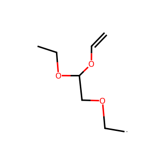 [CH2]COCC(OC=C)OCC